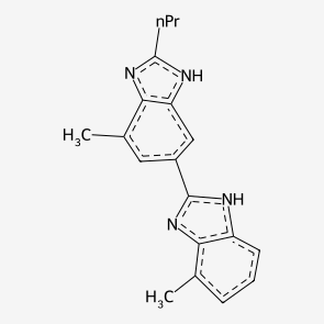 CCCc1nc2c(C)cc(-c3nc4c(C)cccc4[nH]3)cc2[nH]1